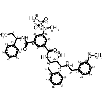 CC[C@@H](NC(=O)c1cc(C(=O)N[C@@H](Cc2ccccc2)[C@H](O)CNCc2cccc(OC)c2)cc(N(C)S(C)(=O)=O)c1)c1ccccc1